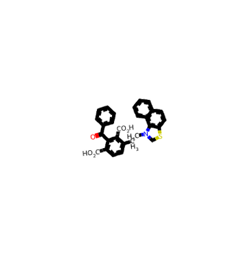 CN1CSc2ccc3ccccc3c21.Cc1ccc(C(=O)O)c(C(=O)c2ccccc2)c1C(=O)O